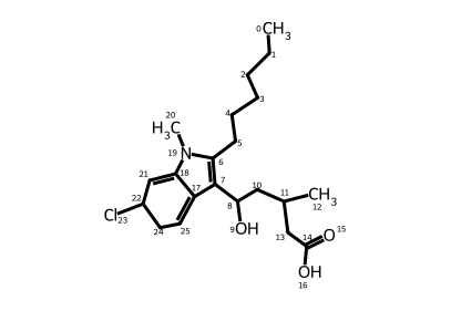 CCCCCCc1c(C(O)CC(C)CC(=O)O)c2c(n1C)=CC(Cl)CC=2